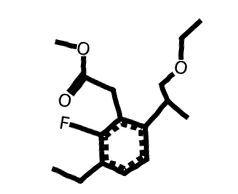 CCOCC(C)c1ccc(CC)c(F)c1CC(=O)OC